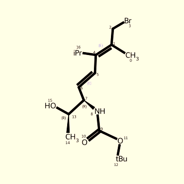 C/C(CBr)=C(\C=C\[C@@H](NC(=O)OC(C)(C)C)[C@@H](C)O)C(C)C